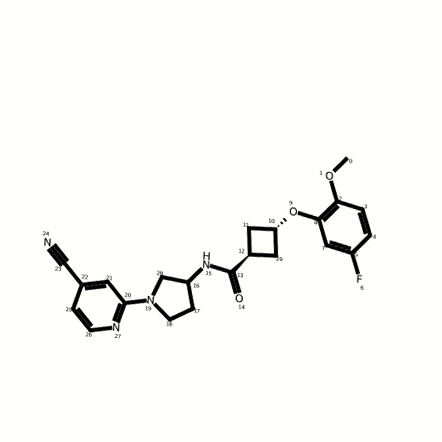 COc1ccc(F)cc1O[C@H]1C[C@H](C(=O)NC2CCN(c3cc(C#N)ccn3)C2)C1